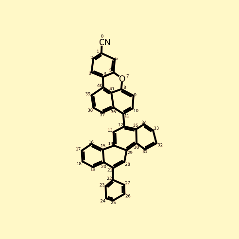 N#Cc1ccc2c(c1)Oc1ccc(-c3cc4c5ccccc5c(-c5ccccc5)cc4c4ccccc34)c3cccc-2c13